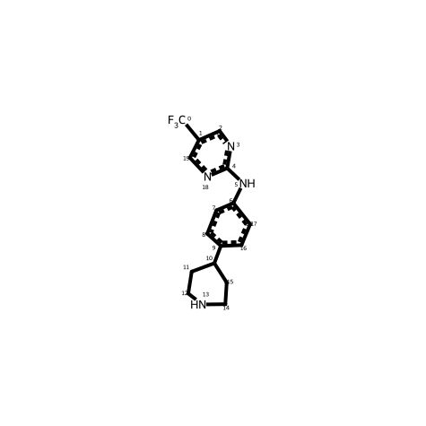 FC(F)(F)c1cnc(Nc2ccc(C3CCNCC3)cc2)nc1